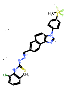 Cc1cccc(Cl)c1NC(=S)N/N=C/c1ccc2c(ccc3c2ncn3-c2ccc([SH](C)(F)(F)F)cc2)c1